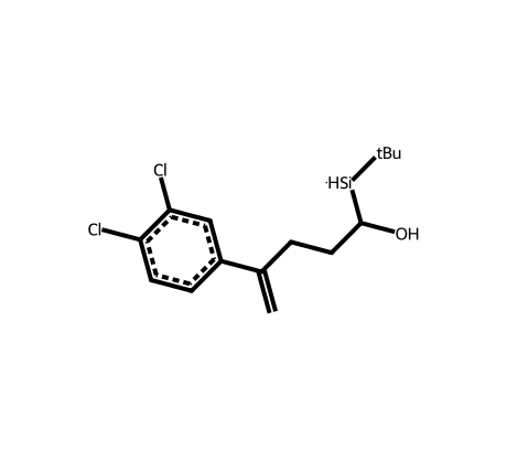 C=C(CCC(O)[SiH]C(C)(C)C)c1ccc(Cl)c(Cl)c1